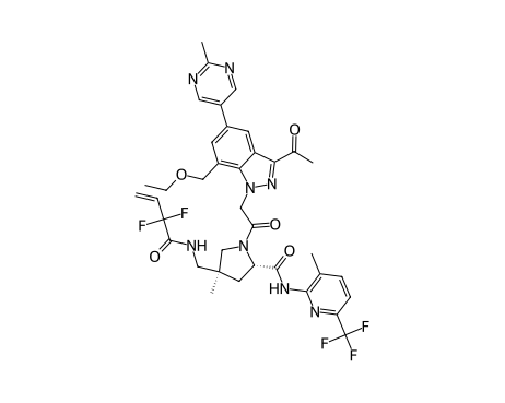 C=CC(F)(F)C(=O)NC[C@]1(C)C[C@@H](C(=O)Nc2nc(C(F)(F)F)ccc2C)N(C(=O)Cn2nc(C(C)=O)c3cc(-c4cnc(C)nc4)cc(COCC)c32)C1